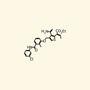 C=C(N)c1c(COc2cccc(C(=O)Nc3cccc(Cl)c3)c2C)csc1/C(=C\C)C(=O)OCC